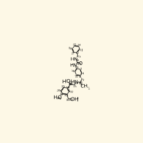 C[C@H](Cc1ccc(NC(=O)NCc2ccccc2)cc1)NC[C@H](O)c1ccc(O)c(CO)c1